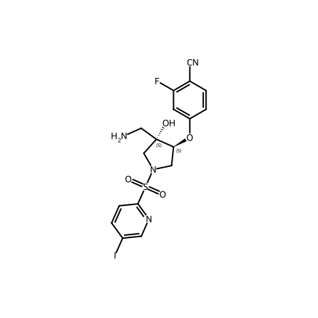 N#Cc1ccc(O[C@H]2CN(S(=O)(=O)c3ccc(I)cn3)C[C@@]2(O)CN)cc1F